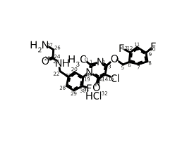 Cc1nc(OCc2ccc(F)cc2F)c(Cl)c(=O)n1-c1cc(CNC(=O)CN)ccc1F.Cl